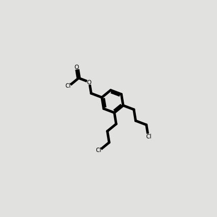 O=C(Cl)OCc1ccc(CCCCl)c(CCCCl)c1